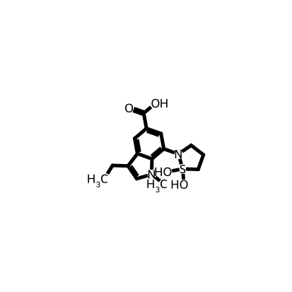 CCc1cn(C)c2c(N3CCCS3(O)O)cc(C(=O)O)cc12